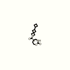 O=C1NC[C@H](C(=O)N2CC3(CC(C4CCC4)C3)C2)CCO1